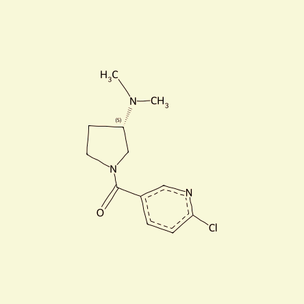 CN(C)[C@H]1CCN(C(=O)c2ccc(Cl)nc2)C1